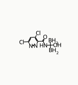 BC(B)(O)NC(=O)c1nnc(Cl)cc1Cl